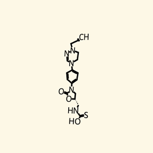 C#CCN1CCN(c2ccc(N3C[C@H](CNC(O)=S)OC3=O)cc2)C=N1